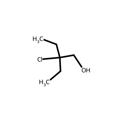 CCC(Cl)(CC)CO